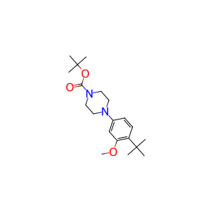 COc1cc(N2CCN(C(=O)OC(C)(C)C)CC2)ccc1C(C)(C)C